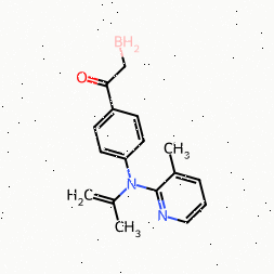 BCC(=O)c1ccc(N(C(=C)C)c2ncccc2C)cc1